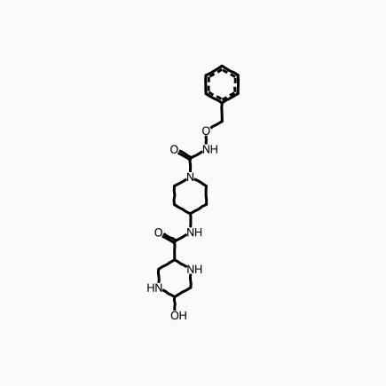 O=C(NC1CCN(C(=O)NOCc2ccccc2)CC1)C1CNC(O)CN1